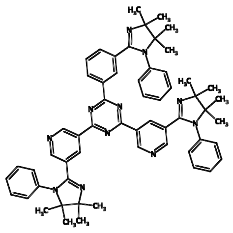 CC1(C)N=C(c2cccc(-c3nc(-c4cncc(C5=NC(C)(C)C(C)(C)N5c5ccccc5)c4)nc(-c4cncc(C5=NC(C)(C)C(C)(C)N5c5ccccc5)c4)n3)c2)N(c2ccccc2)C1(C)C